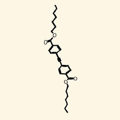 CCCCCCCOC(=O)c1ccc(C#Cc2ccc(C(=O)OCCCCCCC)cc2)cc1